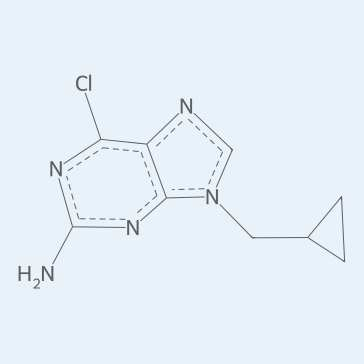 Nc1nc(Cl)c2ncn(CC3CC3)c2n1